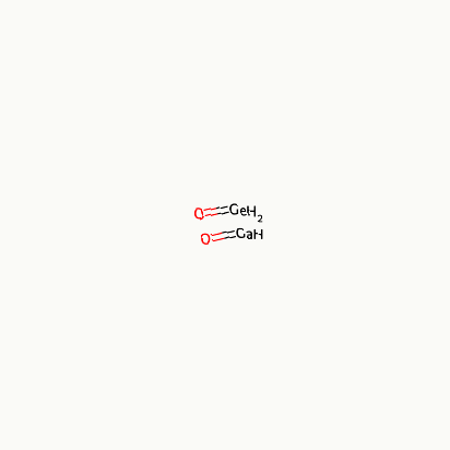 [O]=[GaH].[O]=[GeH2]